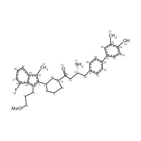 COCCCn1c(C2CCCN(C(=O)C[C@H](N)Cc3ccc(-c4cnc(O)c(C)c4)cc3)C2)c(C)c2cccc(F)c21